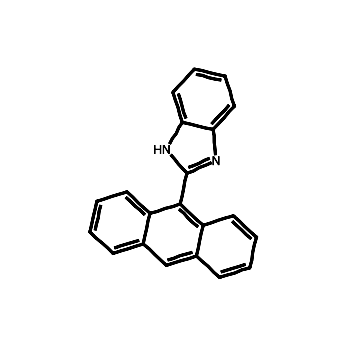 c1ccc2c(-c3nc4ccccc4[nH]3)c3ccccc3cc2c1